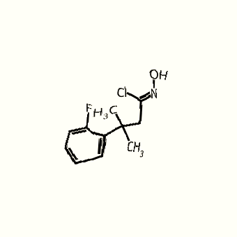 CC(C)(CC(Cl)=NO)c1ccccc1F